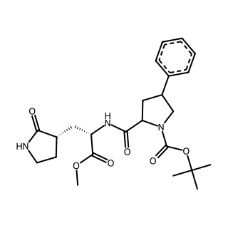 COC(=O)[C@H](C[C@@H]1CCNC1=O)NC(=O)C1CC(c2ccccc2)CN1C(=O)OC(C)(C)C